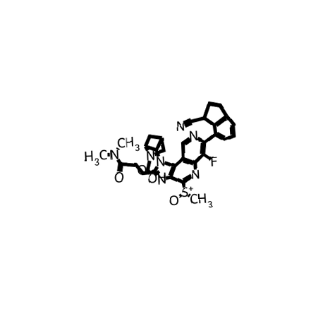 CN(C)C(=O)CCc1nc2c([S+](C)[O-])nc3c(F)c(-c4cccc5c4C(C#N)CC5)ncc3c2n1C1C2CC1N(C(=O)O)C2